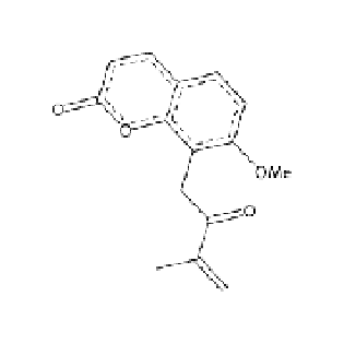 C=C(C)C(=O)Cc1c(OC)ccc2ccc(=O)oc12